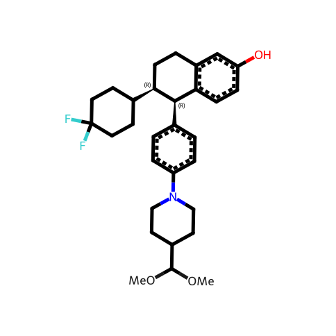 COC(OC)C1CCN(c2ccc([C@@H]3c4ccc(O)cc4CC[C@@H]3C3CCC(F)(F)CC3)cc2)CC1